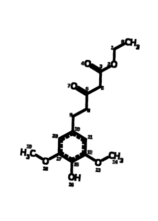 CCOC(=O)CC(=O)CCc1cc(OC)c(O)c(OC)c1